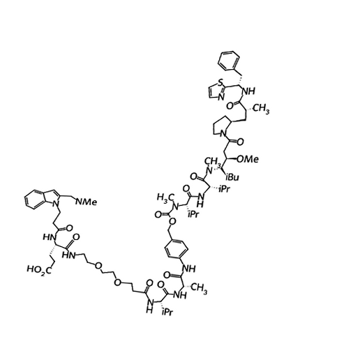 CC[C@H](C)[C@@H]([C@@H](CC(=O)N1CCC[C@H]1C[C@@H](C)C(=O)N[C@@H](Cc1ccccc1)c1nccs1)OC)N(C)C(=O)[C@@H](NC(=O)[C@H](C(C)C)N(C)C(=O)OCc1ccc(NC(=O)[C@H](C)NC(=O)[C@@H](NC(=O)CCOCCOCCNC(=O)[C@H](CCC(=O)O)NC(=O)CCn2c(CNC)cc3ccccc32)C(C)C)cc1)C(C)C